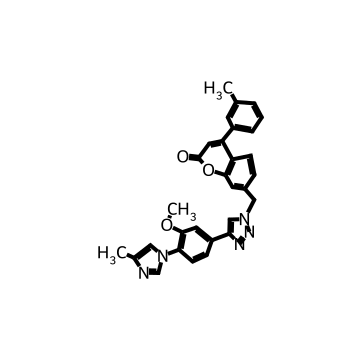 COc1cc(-c2cn(Cc3ccc4c(-c5cccc(C)c5)cc(=O)oc4c3)nn2)ccc1-n1cnc(C)c1